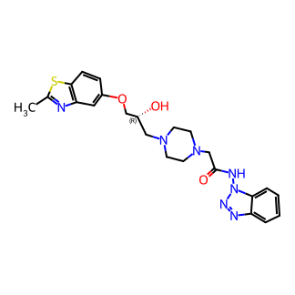 Cc1nc2cc(OC[C@H](O)CN3CCN(CC(=O)Nn4nnc5ccccc54)CC3)ccc2s1